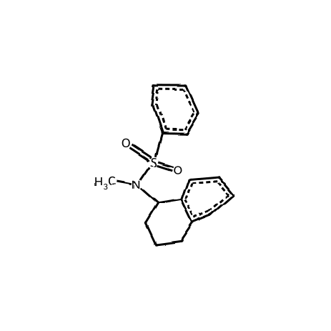 CN(C1CCCc2ccccc21)S(=O)(=O)c1ccccc1